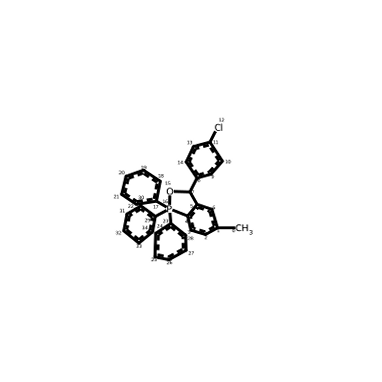 Cc1ccc2c(c1)C(c1ccc(Cl)cc1)OP2(c1ccccc1)(c1ccccc1)c1ccccc1